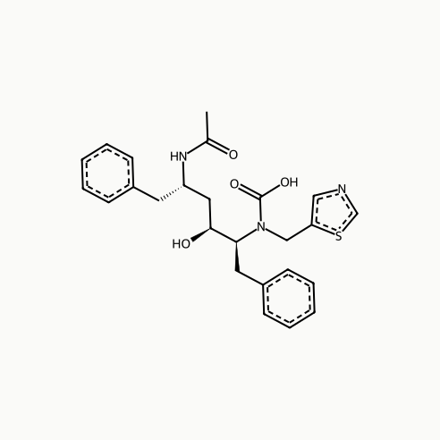 CC(=O)N[C@@H](Cc1ccccc1)C[C@H](O)[C@H](Cc1ccccc1)N(Cc1cncs1)C(=O)O